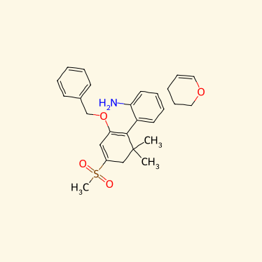 C1=COCCC1.CC1(C)CC(S(C)(=O)=O)=CC(OCc2ccccc2)=C1c1ccccc1N